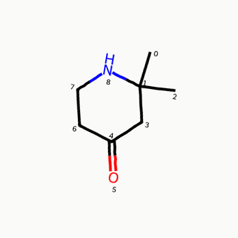 CC1(C)CC(=O)CCN1